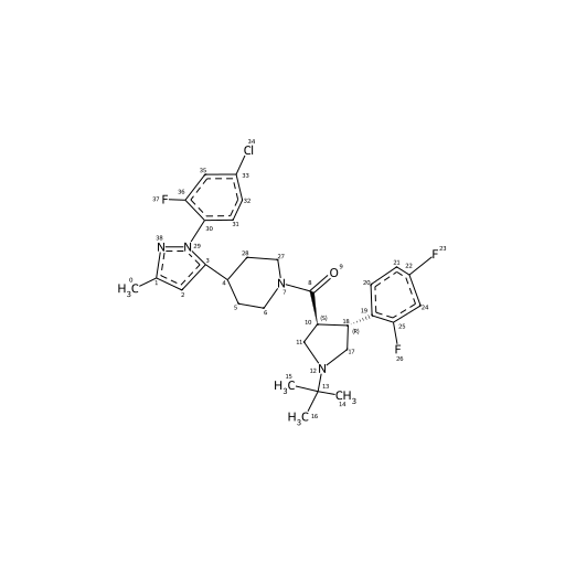 Cc1cc(C2CCN(C(=O)[C@@H]3CN(C(C)(C)C)C[C@H]3c3ccc(F)cc3F)CC2)n(-c2ccc(Cl)cc2F)n1